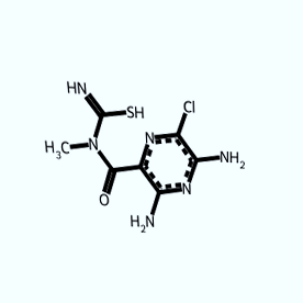 CN(C(=N)S)C(=O)c1nc(Cl)c(N)nc1N